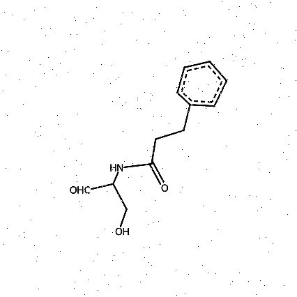 O=CC(CO)NC(=O)CCc1ccccc1